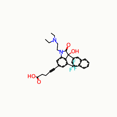 CCN(CC)CCN1C(=O)C(O)(c2ccc3ccccc3c2)c2c1cc(C#CCCC(=O)O)cc2C(F)(F)F